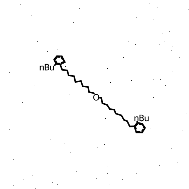 CCCCc1ccccc1CCCCCCCCCCOCCCCCCCCCCc1ccccc1CCCC